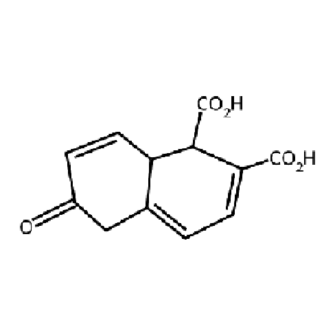 O=C1C=CC2C(=CC=C(C(=O)O)C2C(=O)O)C1